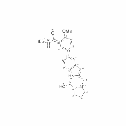 COc1ccc(-c2ccc3[nH]c(CN4CCC[C@@H]4CO)cc3c2)cc1C(=O)NC(C)(C)C